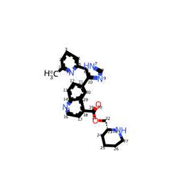 Cc1cccc(-c2[nH]cnc2-c2ccc3nccc(C(=O)OC[C@H]4CCCCN4)c3c2)n1